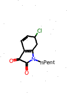 CCCCCN1C(=O)C(=O)C2=C1CC(Cl)C=C2